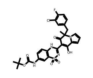 CC(C)(C)OC(=O)Nc1ccc2c(c1)S(=O)(=O)N=C(C1=C(O)c3cccn3C(C)(Cc3ccc(F)c(Cl)c3)C1=O)N2